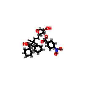 CC(C)(CC[C@H]1OC[C@@H](O)[C@@H]1OC(=O)c1ccc([N+](=O)[O-])cc1)[Si](O)(c1ccccc1)c1ccccc1